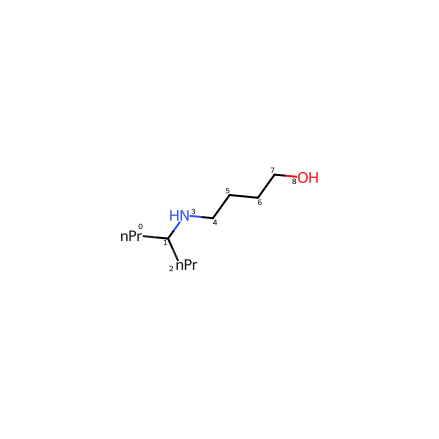 CCCC(CCC)NCCCCO